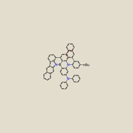 CCCCc1ccc(N2c3cc(N(c4ccccc4)c4ccccc4)ccc3B3c4c(cc(-c5ccccc5)cc42)-c2cccc4c5cc6ccccc6cc5n3c24)c(-c2ccccc2)c1